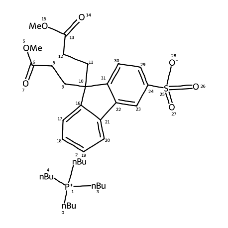 CCCC[P+](CCCC)(CCCC)CCCC.COC(=O)CCC1(CCC(=O)OC)c2ccccc2-c2cc(S(=O)(=O)[O-])ccc21